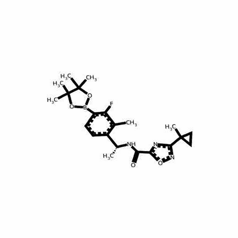 Cc1c([C@@H](C)NC(=O)c2nc(C3(C)CC3)no2)ccc(B2OC(C)(C)C(C)(C)O2)c1F